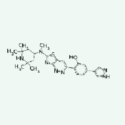 CN(c1nc2nnc(-c3ccc(-c4cn[nH]c4)cc3O)cc2s1)C1CC(C)(C)NC(C)(C)C1